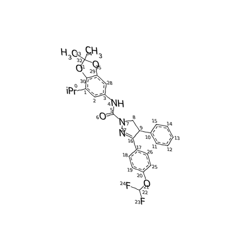 CC(C)c1cc(NC(=O)N2CC(c3ccccc3)C(c3ccc(OC(F)F)cc3)=N2)cc2c1OC(C)(C)O2